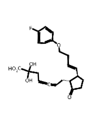 O=C1CC[C@H](/C=C/CCOc2ccc(F)cc2)[C@H]1CC=C=CCC(O)(O)C(=O)O